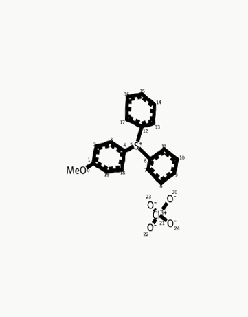 COc1ccc([S+](c2ccccc2)c2ccccc2)cc1.[O-][Cl+3]([O-])([O-])[O-]